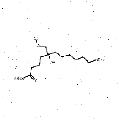 CCCCCCCCCCCCCCCCC(O)(CCCC(=O)CCCCCC)COCC